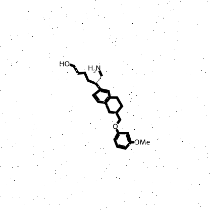 COc1cccc(OCC2CCc3cc([C@@H](CN)CCCCO)ccc3C2)c1